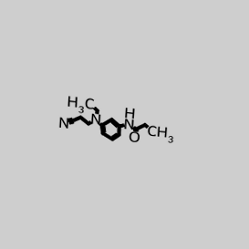 CCC(=O)Nc1cccc(N(CC)CCC#N)c1